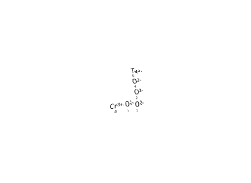 [Cr+3].[O-2].[O-2].[O-2].[O-2].[Ta+5]